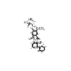 COc1cc2c(cc1CN[C@@H](CO)C(=O)O)C(=O)N(c1cccc(-c3ccccc3)c1C)C2=O